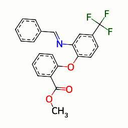 COC(=O)c1ccccc1Oc1ccc(C(F)(F)F)cc1N=Cc1ccccc1